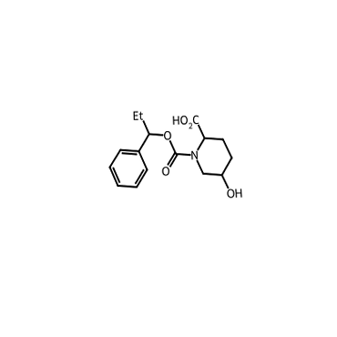 CCC(OC(=O)N1CC(O)CCC1C(=O)O)c1ccccc1